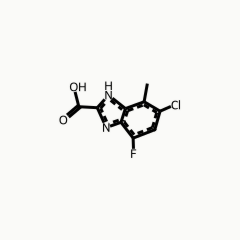 Cc1c(Cl)cc(F)c2nc(C(=O)O)[nH]c12